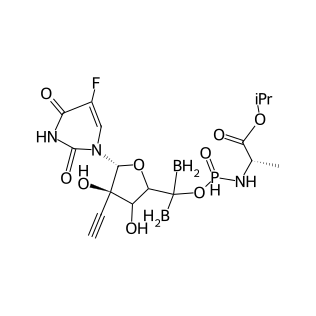 BC(B)(O[PH](=O)N[C@@H](C)C(=O)OC(C)C)C1O[C@@H](n2cc(F)c(=O)[nH]c2=O)[C@@](O)(C#C)C1O